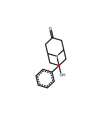 O=C1CC2CC(O)CC(C1)N2Cc1ccccc1